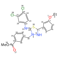 CCOc1cccc(C2NN(Cc3cccc(C(=O)OC)c3)C(=Nc3ccc(Cl)c(Cl)c3)S2)c1